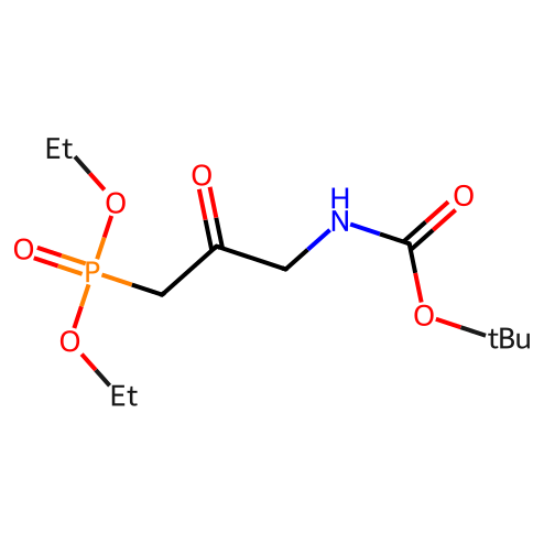 CCOP(=O)(CC(=O)CNC(=O)OC(C)(C)C)OCC